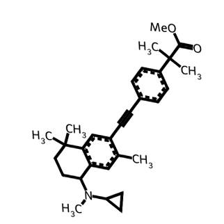 COC(=O)C(C)(C)c1ccc(C#Cc2cc3c(cc2C)C(N(C)C2CC2)CCC3(C)C)cc1